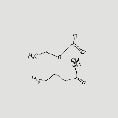 CCCC(=O)S.CCOC(=O)Cl